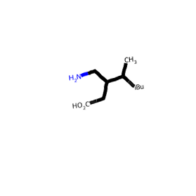 CCC(C)C(C)C(CN)CC(=O)O